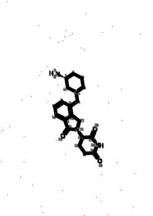 N[C@@H]1CCCN(Cc2cccc3c2CN(C2CCC(=O)NC2=O)C3=O)C1